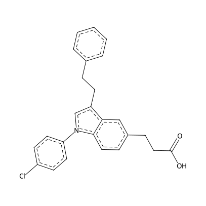 O=C(O)CCc1ccc2c(c1)c(CCc1ccccc1)cn2-c1ccc(Cl)cc1